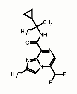 Cc1cn2c(C(F)F)cnc(C(=O)NC(C)(C)C3CC3)c2n1